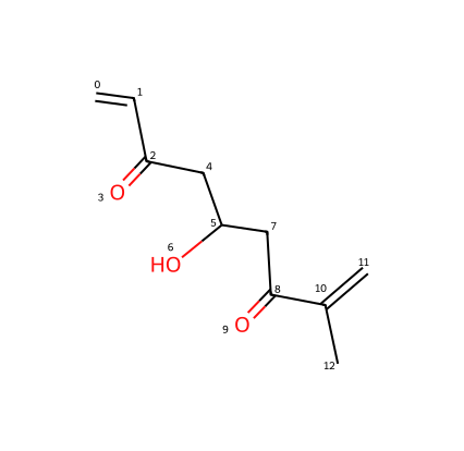 C=CC(=O)CC(O)CC(=O)C(=C)C